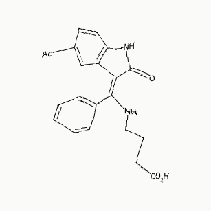 CC(=O)c1ccc2c(c1)/C(=C(/NCCCC(=O)O)c1ccccc1)C(=O)N2